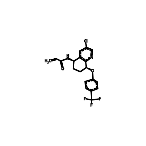 C=CC(=O)N[C@@H]1CC[C@H](Oc2ccc(C(F)(F)F)cc2)c2ncc(Cl)cc21